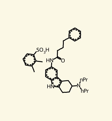 CCCN(CCC)C1CCc2[nH]c3ccc(NC(=O)CCCc4ccccc4)cc3c2C1.Cc1cccc(S(=O)(=O)O)c1C